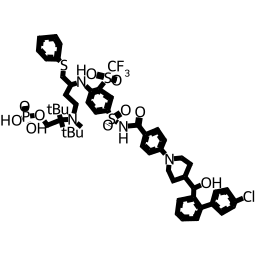 CN(CCC(CSc1ccccc1)Nc1ccc(S(=O)(=O)NC(=O)c2ccc(N3CCC(C(O)c4ccccc4-c4ccc(Cl)cc4)CC3)cc2)cc1S(=O)(=O)C(F)(F)F)C(COP(=O)(O)O)(C(C)(C)C)C(C)(C)C